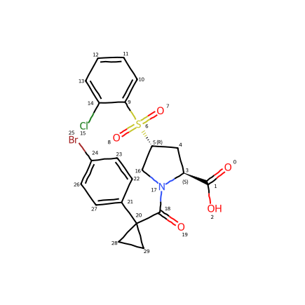 O=C(O)[C@@H]1C[C@@H](S(=O)(=O)c2ccccc2Cl)CN1C(=O)C1(c2ccc(Br)cc2)CC1